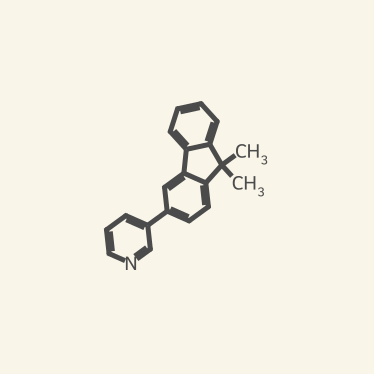 CC1(C)c2ccccc2-c2cc(-c3cccnc3)ccc21